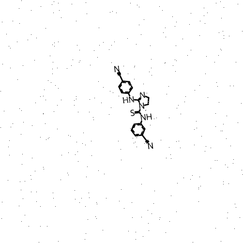 N#Cc1ccc(NC2=NCCN2C(=S)Nc2cccc(C#N)c2)cc1